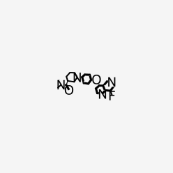 CN(C)C(=O)[C@H]1CCCN(c2ccc(Oc3ccnc4c(F)cncc34)cc2)C1